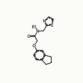 CCN(Cc1nccs1)C(=O)COc1ccc2c(c1)CCC2